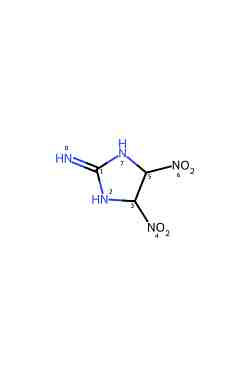 N=C1NC([N+](=O)[O-])C([N+](=O)[O-])N1